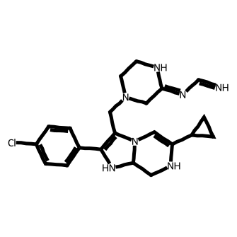 N=C/N=C1/CN(CC2=C(c3ccc(Cl)cc3)NC3CNC(C4CC4)=CN23)CCN1